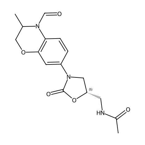 CC(=O)NC[C@H]1CN(c2ccc3c(c2)OCC(C)N3C=O)C(=O)O1